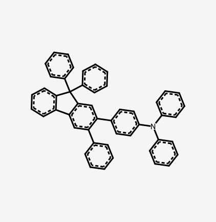 c1ccc(-c2cc3c(cc2-c2ccc(N(c4ccccc4)c4ccccc4)cc2)C(c2ccccc2)(c2ccccc2)c2ccccc2-3)cc1